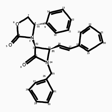 O=C1[C@@H](N2C(=O)OC[C@@H]2c2ccccc2)[C@@H](C=Cc2ccccc2)N1Cc1ccccc1